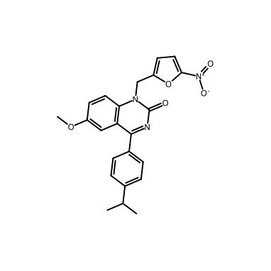 COc1ccc2c(c1)c(-c1ccc(C(C)C)cc1)nc(=O)n2Cc1ccc([N+](=O)[O-])o1